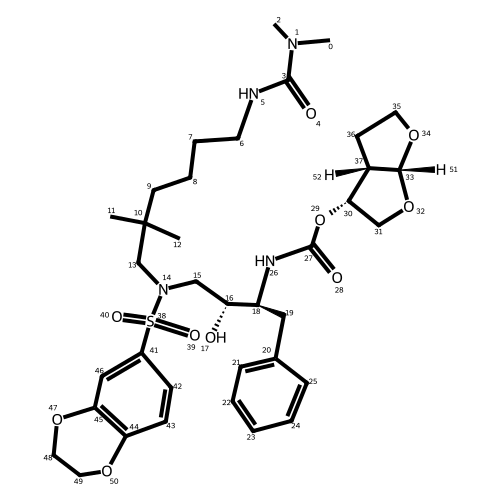 CN(C)C(=O)NCCCCC(C)(C)CN(C[C@@H](O)[C@H](Cc1ccccc1)NC(=O)O[C@H]1CO[C@H]2OCC[C@H]21)S(=O)(=O)c1ccc2c(c1)OCCO2